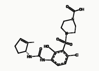 CC1=CCC[C@H]1NC(=O)Nc1ccc(Cl)c(S(=O)(=O)N2CCN(C(=O)O)CC2)c1O